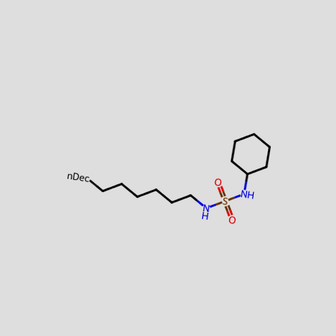 CCCCCCCCCCCCCCCCNS(=O)(=O)NC1CCCCC1